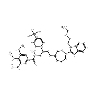 CCOCCn1c(N2CCCN(CCC(CN(C)C(=O)c3cc(OC)c(OC)c(OC)c3)c3ccc(C(F)(F)F)cc3)CC2)nc2ccccc21